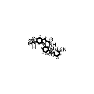 CS(=O)(=O)Nc1ccc2cc(C(N)=O)n(-c3cccc(S(=O)(=O)c4cccc(C#N)n4)c3)c2c1